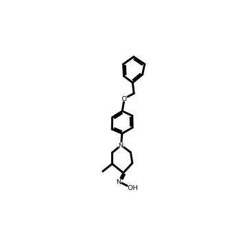 CC1CN(c2ccc(OCc3ccccc3)cc2)CCC1=NO